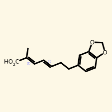 C/C(=C\C=C\CCc1ccc2c(c1)OCO2)C(=O)O